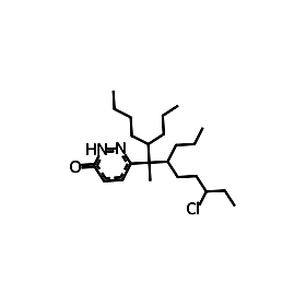 CCCCC(CCC)C(C)(c1ccc(=O)[nH]n1)C(CCC)CCC(Cl)CC